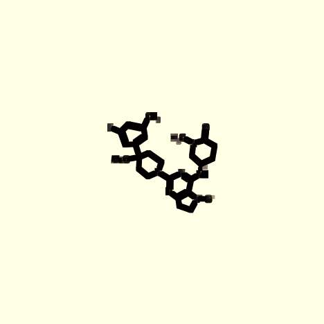 COC1(c2cc(C)cc(F)c2)CCN(c2nc3c(c(N[C@H]4CCC(=O)N(C)C4)n2)[S+]([O-])CC3)CC1